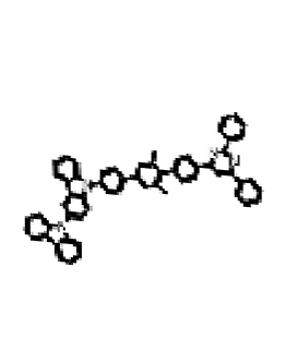 Cc1cc(-c2ccc(-n3c4ccccc4c4cc(-n5c6ccccc6c6ccccc65)ccc43)cc2)cc(C)c1-c1ccc(-c2cc(-c3ccccc3)nc(-c3ccccc3)n2)cc1